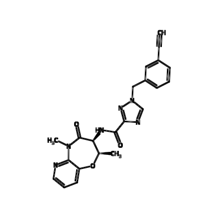 C#Cc1cccc(Cn2cnc(C(=O)N[C@@H]3C(=O)N(C)c4ncccc4O[C@@H]3C)n2)c1